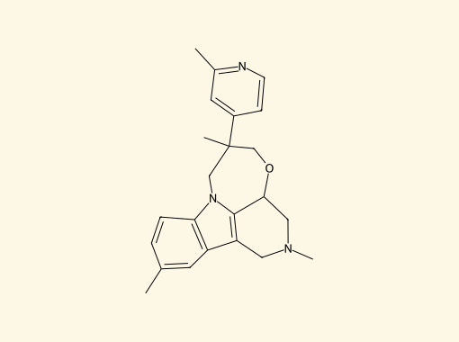 Cc1ccc2c(c1)c1c3n2CC(C)(c2ccnc(C)c2)COC3CN(C)C1